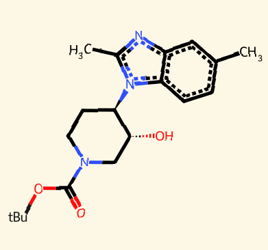 Cc1ccc2c(c1)nc(C)n2[C@@H]1CCN(C(=O)OC(C)(C)C)C[C@H]1O